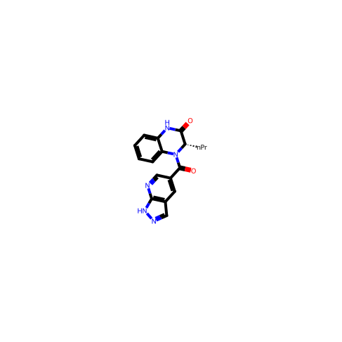 CCC[C@H]1C(=O)Nc2ccccc2N1C(=O)c1cnc2[nH]ncc2c1